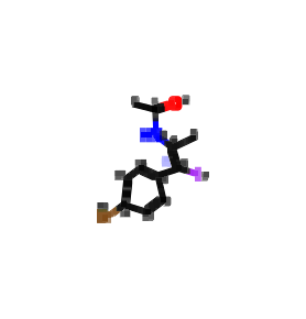 CC(=O)N/C(C)=C(/I)c1ccc(Br)cc1